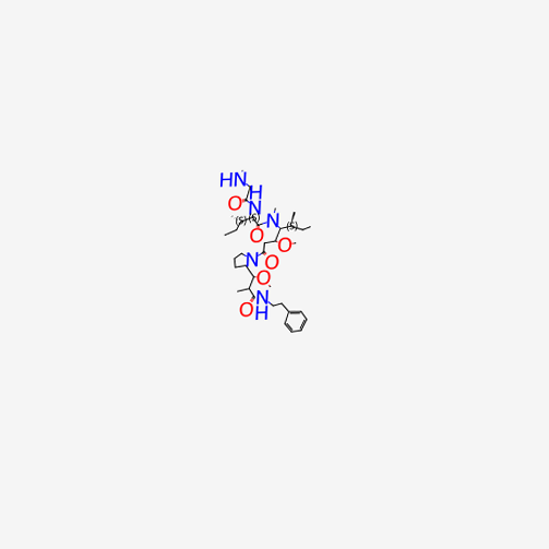 CC[C@H](C)C(C(CC(=O)N1CCCC1C(OC)C(C)C(=O)NCCc1ccccc1)OC)N(C)C(=O)[C@@H](NC(=O)CNC)[C@@H](C)CC